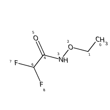 CCONC(=O)C(F)F